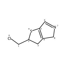 ClCC1CC2=C(C=NC2)S1